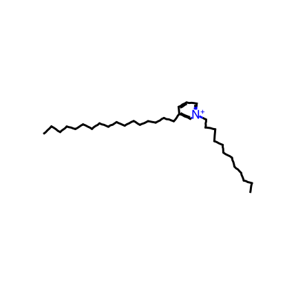 CCCCCCCCCCCCCCCCCc1ccc[n+](CCCCCCCCCCCC)c1